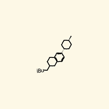 CCC(C)CC1CCc2cc([C@H]3CC[C@H](C)CC3)ccc2C1